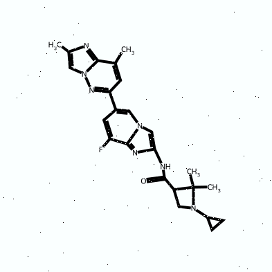 Cc1cn2nc(-c3cc(F)c4nc(NC(=O)C5CN(C6CC6)C5(C)C)cn4c3)cc(C)c2n1